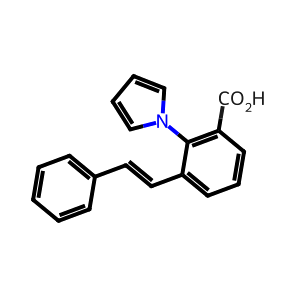 O=C(O)c1cccc(C=Cc2ccccc2)c1-n1cccc1